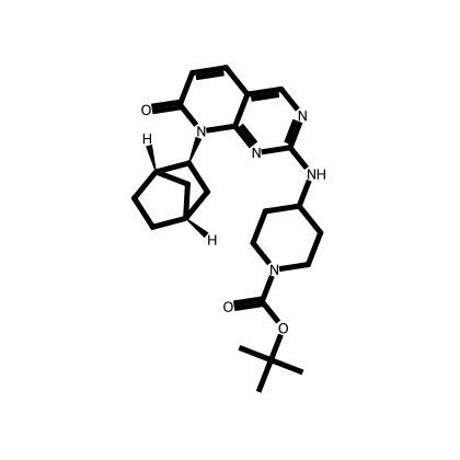 CC(C)(C)OC(=O)N1CCC(Nc2ncc3ccc(=O)n([C@H]4C[C@@H]5CC[C@H]4C5)c3n2)CC1